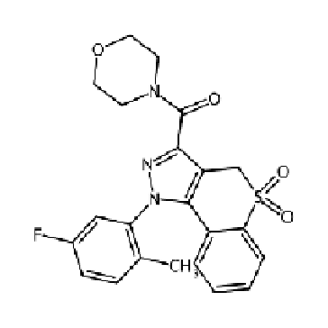 Cc1ccc(F)cc1-n1nc(C(=O)N2CCOCC2)c2c1-c1ccccc1S(=O)(=O)C2